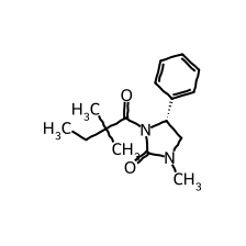 CCC(C)(C)C(=O)N1C(=O)N(C)C[C@H]1c1ccccc1